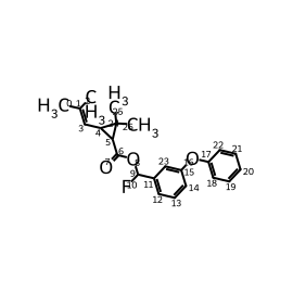 CC(C)=CC1C(C(=O)OC(F)c2cccc(Oc3ccccc3)c2)C1(C)C